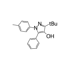 Cc1ccc(-n2nc(C(C)(C)C)c(O)c2-c2ccccc2)cc1